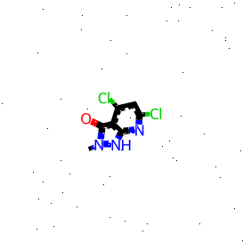 Cn1[nH]c2nc(Cl)cc(Cl)c2c1=O